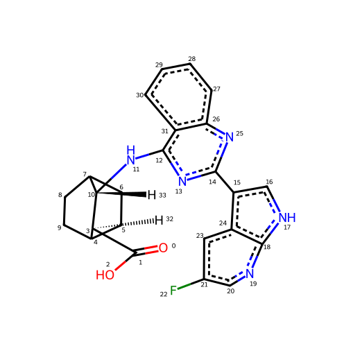 O=C(O)[C@H]1C2CCC(CC2)[C@@H]1Nc1nc(-c2c[nH]c3ncc(F)cc23)nc2ccccc12